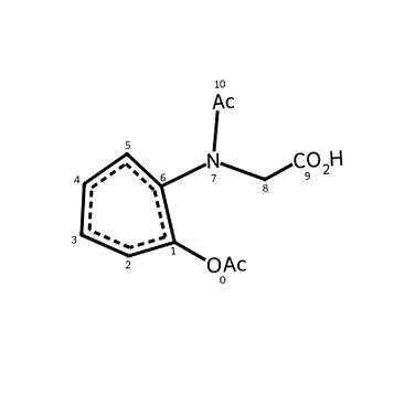 CC(=O)Oc1ccccc1N(CC(=O)O)C(C)=O